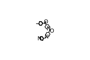 Cc1ccc(C(=O)C2CCN(C(=O)C3CCN(Cc4ccncc4)CC3)CC2)cc1